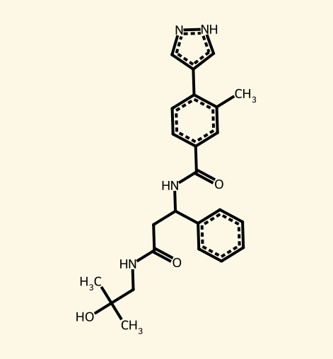 Cc1cc(C(=O)NC(CC(=O)NCC(C)(C)O)c2ccccc2)ccc1-c1cn[nH]c1